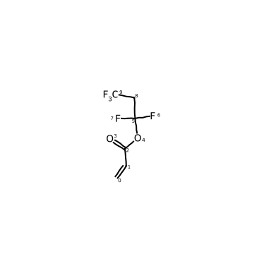 C=CC(=O)OC(F)(F)CC(F)(F)F